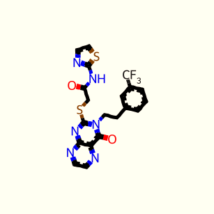 O=C(CSc1nc2nccnc2c(=O)n1CCc1cccc(C(F)(F)F)c1)Nc1nccs1